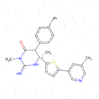 Cc1cncc(-c2ccc([C@@]3(C)NC(=N)N(C)C(=O)C3c3ccc(C(C)C)cc3)s2)c1